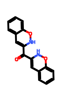 O=C(C1=Cc2ccccc2ON1)C1=Cc2ccccc2ON1